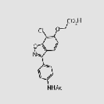 CC(=O)Nc1ccc(-c2noc3c(Cl)c(OCC(=O)O)ccc23)cc1